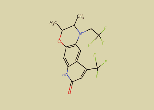 CC1Oc2cc3[nH]c(=O)cc(C(F)(F)F)c3cc2N(CC(F)(F)F)C1C